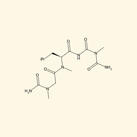 CC(C)C[C@@H](C(=O)NC(=O)N(C)C(N)=O)N(C)C(=O)CN(C)C(N)=O